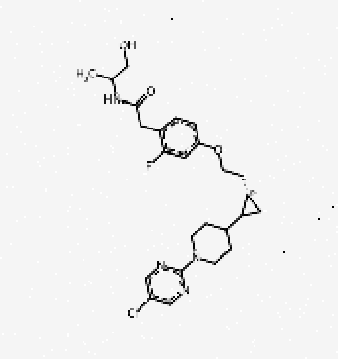 CC(CO)NC(=O)Cc1ccc(OCC[C@@H]2CC2C2CCN(c3ncc(Cl)cn3)CC2)cc1F